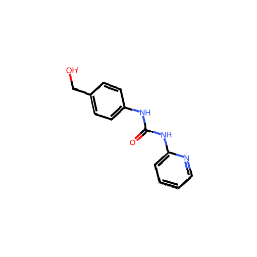 O=C(Nc1ccc(CO)cc1)Nc1ccccn1